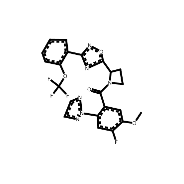 COc1cc(C(=O)N2CCC2c2nc(-c3ccccc3OC(F)(F)F)no2)c(-n2nccn2)cc1F